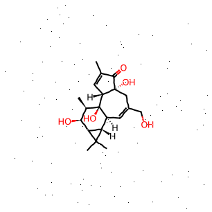 CC1=C[C@H]2[C@@]3(O)[C@H](C)[C@H](O)C4[C@H]([C@@H]3C=C(CO)C[C@]2(O)C1=O)C4(C)C